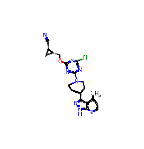 Cc1ccnc2[nH]nc(C3CCN(c4nc(Cl)nc(OC[C@H]5C[C@H]5C#N)n4)CC3)c12